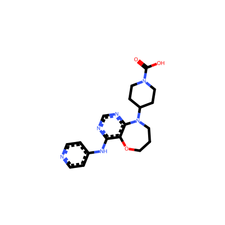 O=C(O)N1CCC(N2CCCOc3c(Nc4ccncc4)ncnc32)CC1